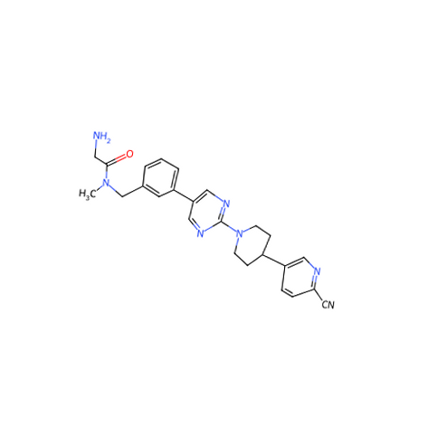 CN(Cc1cccc(-c2cnc(N3CCC(c4ccc(C#N)nc4)CC3)nc2)c1)C(=O)CN